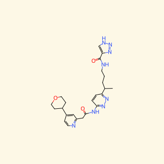 CC(CCCNC(=O)c1c[nH]nn1)c1ccc(NC(=O)Cc2cc(C3CCOCC3)ccn2)nn1